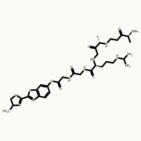 CN[C@@H](C)C(=O)CCN[C@@H](C)C(=O)CN[C@@H](CCCNC(N)N)C(=O)NCC(=O)NCC(=O)Oc1ccc2nc(C3=NC(C(=O)O)CS3)sc2c1